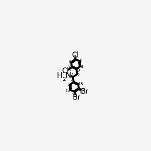 NC(Cc1ccc(Cl)cc1Cl)c1ccc(Br)c(Br)c1